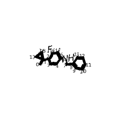 CC1(c2ccc(NCc3ccccc3)cc2F)CC1